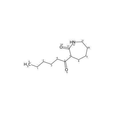 CCCCCC(=O)C1CCCCNC1=O